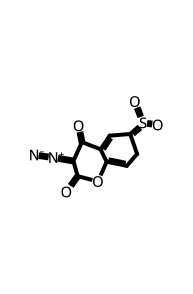 [N-]=[N+]=C1C(=O)OC2=CCC(=S(=O)=O)C=C2C1=O